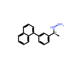 C[C@H](NN)c1cccc(-c2cccc3ccccc23)c1